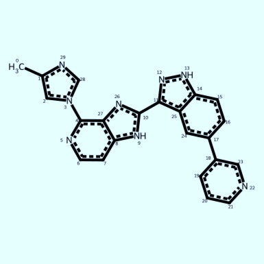 Cc1cn(-c2nccc3[nH]c(-c4n[nH]c5ccc(-c6cccnc6)cc45)nc23)cn1